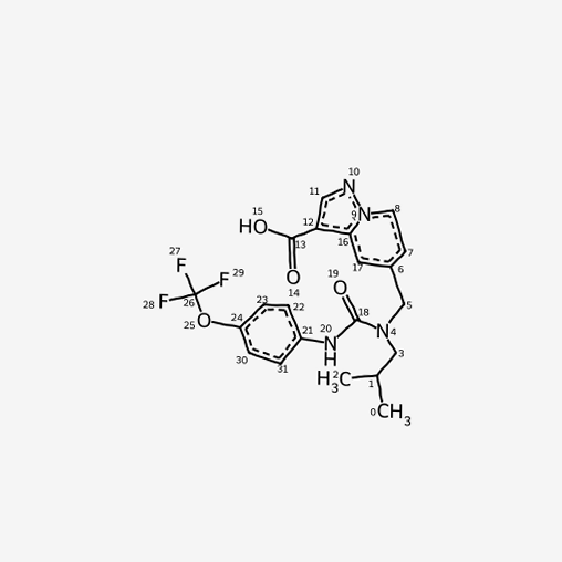 CC(C)CN(Cc1ccn2ncc(C(=O)O)c2c1)C(=O)Nc1ccc(OC(F)(F)F)cc1